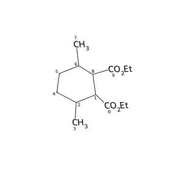 CCOC(=O)C1C(C)CCC(C)C1C(=O)OCC